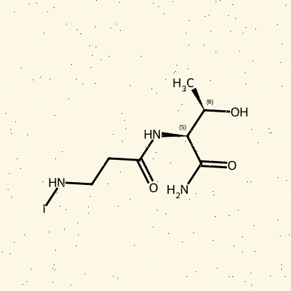 C[C@@H](O)[C@H](NC(=O)CCNI)C(N)=O